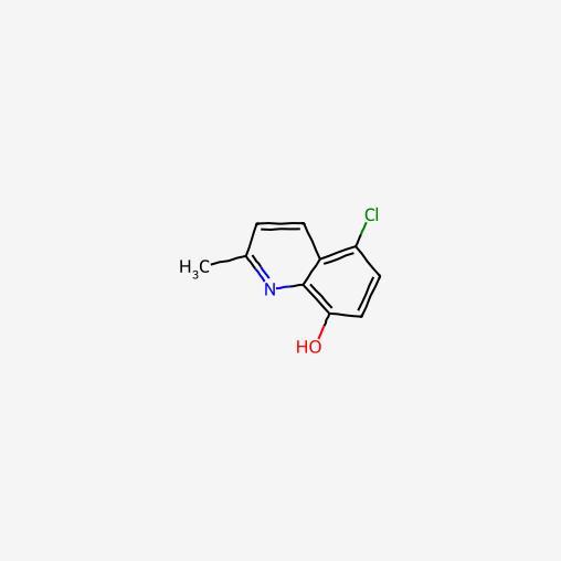 Cc1ccc2c(Cl)ccc(O)c2n1